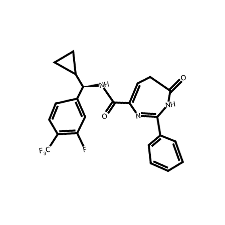 O=C1CC=C(C(=O)N[C@@H](c2ccc(C(F)(F)F)c(F)c2)C2CC2)N=C(c2ccccc2)N1